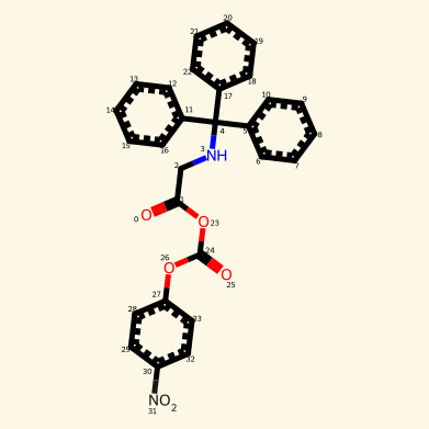 O=C(CNC(c1ccccc1)(c1ccccc1)c1ccccc1)OC(=O)Oc1ccc([N+](=O)[O-])cc1